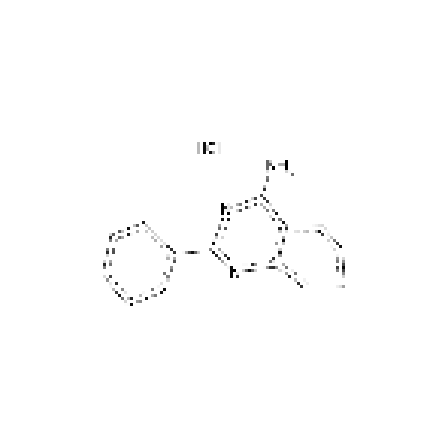 Cl.Nc1nc(-c2ccccc2)nc2ccccc12